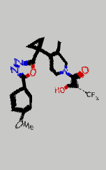 COc1ccc(-c2nnc(C3(C4CCN(C(=O)[C@@H](O)C(F)(F)F)CC4C)CC3)o2)cc1